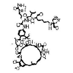 COc1cc2cc(c1Cl)N(C)C(=O)C[C@H](OC(=O)[C@H](C)N(C)C(=O)c1ccc(NC(=O)[C@H](CCCNC(N)=O)NC(=O)[C@@H](NC(C=O)CCCCNC(C=O)(CBr)CBr)C(C)C)cc1C(F)(F)F)[C@]1(C)O[C@H]1[C@H](C)[C@@H]1C[C@@](O)(NC(=O)O1)[C@H](OC)/C=C/C=C(\C)C2